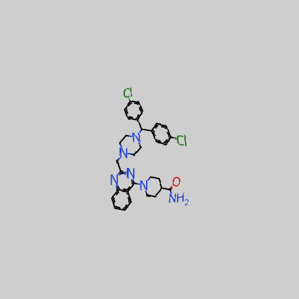 NC(=O)C1CCN(c2nc(CN3CCN(C(c4ccc(Cl)cc4)c4ccc(Cl)cc4)CC3)nc3ccccc23)CC1